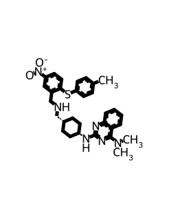 Cc1ccc(Sc2ccc([N+](=O)[O-])cc2CNC[C@H]2CC[C@@H](Nc3nc(N(C)C)c4ccccc4n3)CC2)cc1